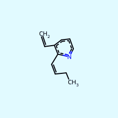 C=Cc1cccnc1/C=C\CC